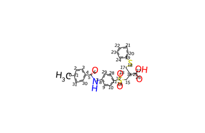 Cc1ccc(C(=O)Nc2ccc(S(=O)(=O)CC(CSc3ccccc3)C(=O)O)cc2)cc1